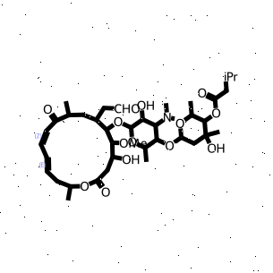 COC1C(O)CC(=O)OC(C)C/C=C/C=C\C(=O)C(C)CC(CC=O)C1OC1OC(C)C(OC2CC(C)(O)C(OC(=O)CC(C)C)C(C)O2)C(N(C)C)C1O